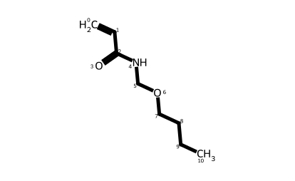 C=CC(=O)NCOCCCC